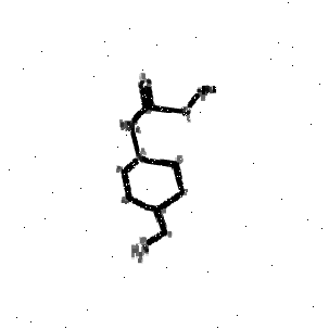 CC(C)(C)OC(=O)NN1CCC(CN)CC1